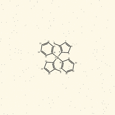 CC1=C([Si](C2=C(C)C=CC2)(c2ccccc2)c2ccccc2)CC=C1